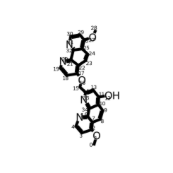 COc1ccnc2c1ccc1c(O)cc(COc3ccnc4c3ccc3c(OC)ccnc34)nc12